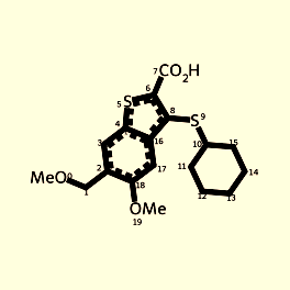 COCc1cc2sc(C(=O)O)c(SC3CCCCC3)c2cc1OC